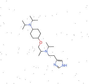 CC(C)N(CCc1c[nH]cn1)C(C)COC1CCC(N(C(C)C)C(C)C)CC1